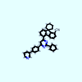 N#Cc1cccc2c1C1(CCCCC1)c1cccc(-c3cc(-c4ccc(-c5cccnc5)cc4)nc(-c4ccccc4)n3)c1-2